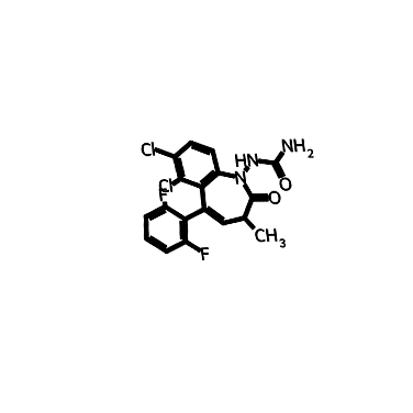 CC1C=C(c2c(F)cccc2F)c2c(ccc(Cl)c2Cl)N(NC(N)=O)C1=O